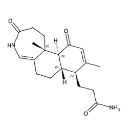 CC1=CC(=O)[C@H]2[C@@H](CCC3=CNC(=O)CC[C@@]32C)[C@@H]1CCC(N)=O